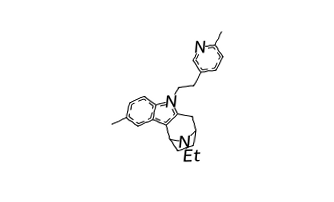 CCN1C2CCC1c1c(n(CCc3ccc(C)nc3)c3ccc(C)cc13)C2